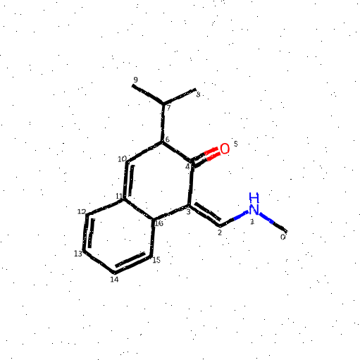 CN/C=C1\C(=O)C(C(C)C)C=C2C=CC=CC21